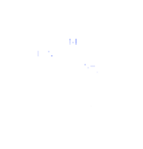 C=C/C=N\C(N)=C(N)N